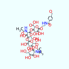 CC(=O)NC1[C@@H](O[C@@H]2C(C(=O)O)O[C@@H](O[C@@H]3C(CO)O[C@H](O[C@@H]4C(C(=O)O)O[C@@H](OCCNC(=O)c5ccc(C=O)cc5)[C@@H](O)C4O)C(NC(C)=O)[C@H]3O)[C@@H](O)C2O)OC(CO)[C@@H](O)[C@@H]1O